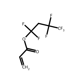 C=CC(=O)OC(F)(F)CC(F)(F)C(F)(F)F